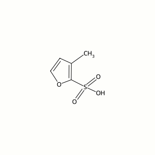 Cc1ccoc1S(=O)(=O)O